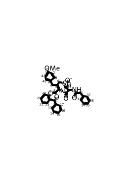 COc1ccc(CC2=C(C(=O)OC(c3ccccc3)c3ccccc3)N3C(=O)C(NC(=O)Cc4ccccc4)[C@H]3[S+]([O-])C2)cc1